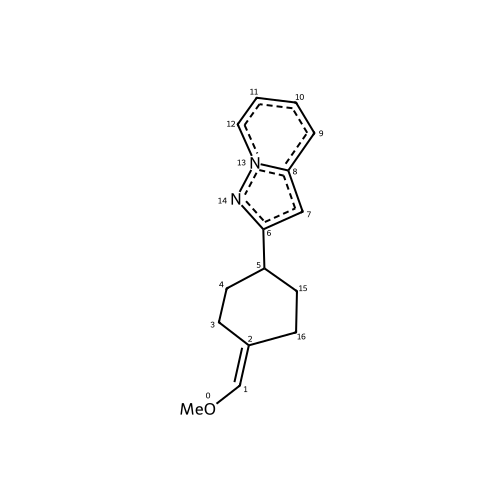 COC=C1CCC(c2cc3ccccn3n2)CC1